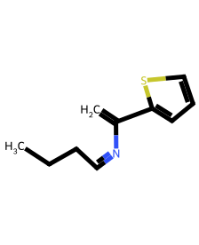 C=C(/N=C\CCC)c1cccs1